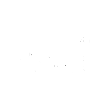 Cn1ccnc1COc1cccc(C(=O)O)c1